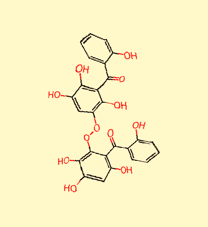 O=C(c1ccccc1O)c1c(O)c(O)cc(OOc2c(O)c(O)cc(O)c2C(=O)c2ccccc2O)c1O